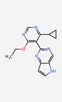 CCOc1ncnc(C2CC2)c1-c1ncc2[nH]ccc2n1